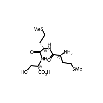 CSCC[C@H](NC(=O)[C@@H](N)CCSC)C(=O)N[C@@H](CO)C(=O)O